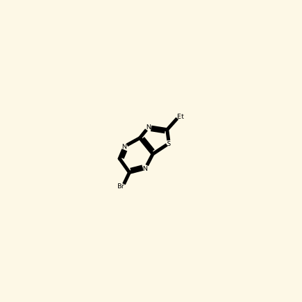 CCc1nc2ncc(Br)nc2s1